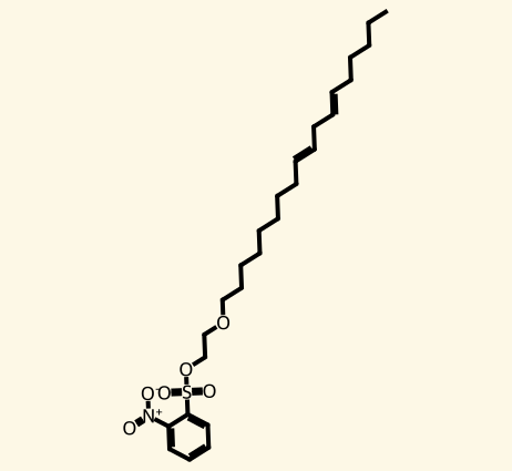 CCCCCC=CCC=CCCCCCCCCOCCOS(=O)(=O)c1ccccc1[N+](=O)[O-]